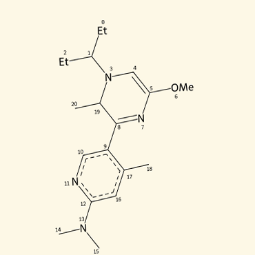 CCC(CC)N1C=C(OC)N=C(c2cnc(N(C)C)cc2C)C1C